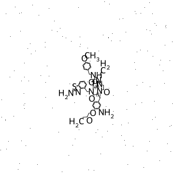 C=CCN(C(=O)NCc1ccc(OC)cc1)N1CC(=O)N2[C@@H](Cc3ccc(OCC(=O)C=C)c(N)c3)C(=O)N(Cc3cccc4sc(N)nc34)C[C@@H]21